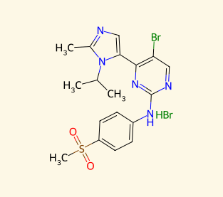 Br.Cc1ncc(-c2nc(Nc3ccc(S(C)(=O)=O)cc3)ncc2Br)n1C(C)C